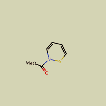 COC(=O)N1C=CC=CS1